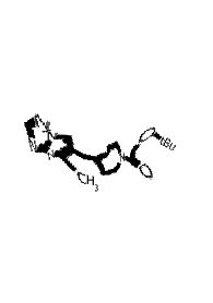 Cc1nc2ncnn2cc1C1CCN(C(=O)OC(C)(C)C)CC1